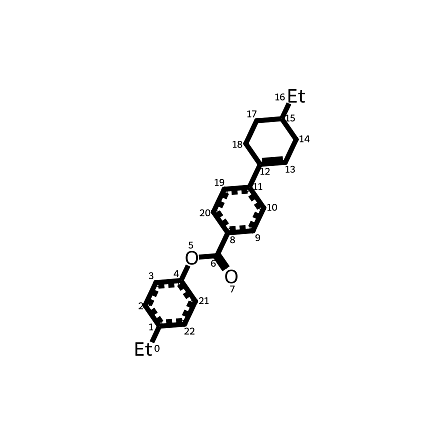 CCc1ccc(OC(=O)c2ccc(C3=CCC(CC)CC3)cc2)cc1